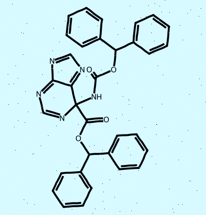 O=C(NC1(C(=O)OC(c2ccccc2)c2ccccc2)N=[C]N=C2N=CN=C21)OC(c1ccccc1)c1ccccc1